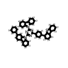 c1ccc(-c2ccc3c4ccccc4n(-c4nc(-c5ccc(-c6cccc7c6sc6ccccc67)cc5)nc(-n5c6ccccc6c6ccccc65)n4)c3c2)cc1